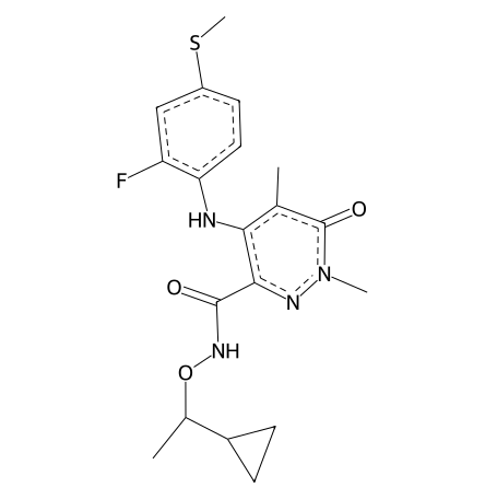 CSc1ccc(Nc2c(C(=O)NOC(C)C3CC3)nn(C)c(=O)c2C)c(F)c1